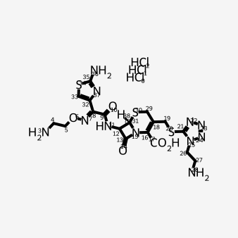 Cl.Cl.Cl.NCCON=C(C(=O)NC1C(=O)N2C(C(=O)O)=C(CSc3nnnn3CCN)CS[C@@H]12)c1csc(N)n1